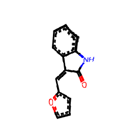 O=C1Nc2ccccc2C1=Cc1ccco1